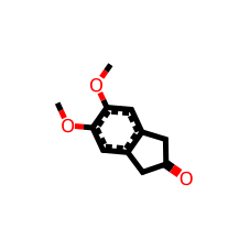 COc1cc2c(cc1OC)CC(=O)C2